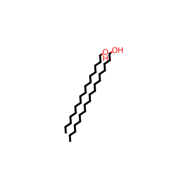 CCCCCCCCCCCCCCCCCCO.CCCCCCCCCCCCCCCCO